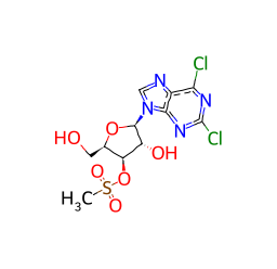 CS(=O)(=O)O[C@@H]1[C@@H](O)[C@H](n2cnc3c(Cl)nc(Cl)nc32)O[C@@H]1CO